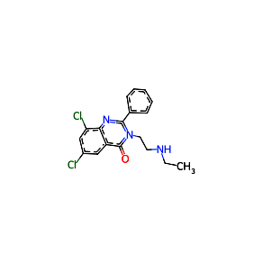 CCNCCn1c(-c2ccccc2)nc2c(Cl)cc(Cl)cc2c1=O